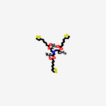 CC(CN(CC(C)OC(=O)CCCCC1CCSS1)CC(C)OC(=O)CCCCC1CCSS1)OC(=O)CCCCC1CCSS1